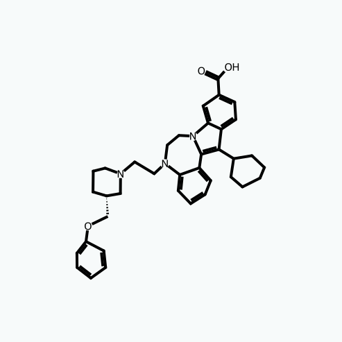 O=C(O)c1ccc2c(C3CCCCC3)c3n(c2c1)CCN(CCN1CCC[C@@H](COc2ccccc2)C1)c1ccccc1-3